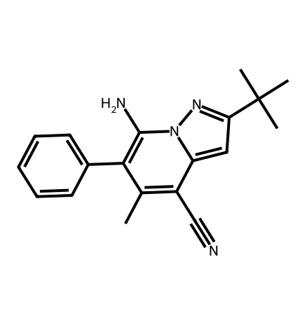 Cc1c(-c2ccccc2)c(N)n2nc(C(C)(C)C)cc2c1C#N